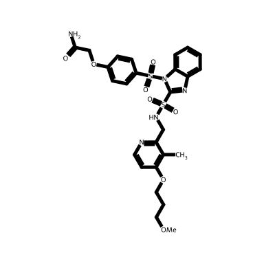 COCCCOc1ccnc(CNS(=O)(=O)c2nc3ccccc3n2S(=O)(=O)c2ccc(OCC(N)=O)cc2)c1C